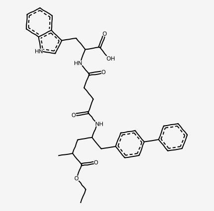 CCOC(=O)C(C)CC(Cc1ccc(-c2ccccc2)cc1)NC(=O)CCC(=O)NC(Cc1c[nH]c2ccccc12)C(=O)O